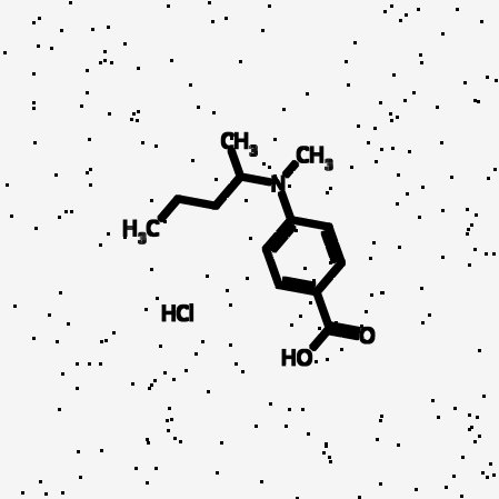 CCCC(C)N(C)c1ccc(C(=O)O)cc1.Cl